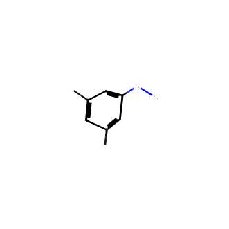 CC(C)(C)c1cc(NN)cc(C(C)(C)C)c1